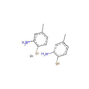 Cc1ccc(S)c(N)c1.Cc1ccc(S)c(N)c1.[Zn]